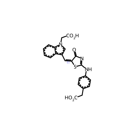 O=C(O)Cc1ccc(NC2=NC(=O)/C(=C\c3cn(CC(=O)O)c4ccccc34)S2)cc1